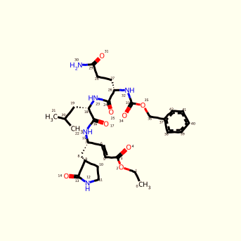 CCOC(=O)/C=C/[C@H](C[C@@H]1CCNC1=O)NC(=O)[C@H](CC(C)C)NC(=O)[C@H](CCC(N)=O)NC(=O)OCc1ccccc1